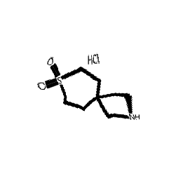 Cl.O=S1(=O)CCC2(CC1)CNC2